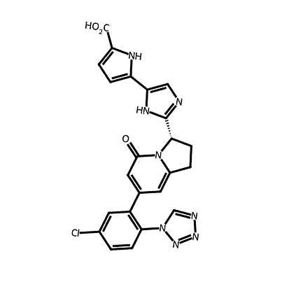 O=C(O)c1ccc(-c2cnc([C@@H]3CCc4cc(-c5cc(Cl)ccc5-n5cnnn5)cc(=O)n43)[nH]2)[nH]1